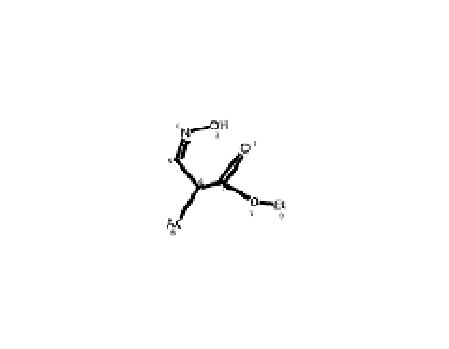 CCOC(=O)C(/C=N\O)C(C)=O